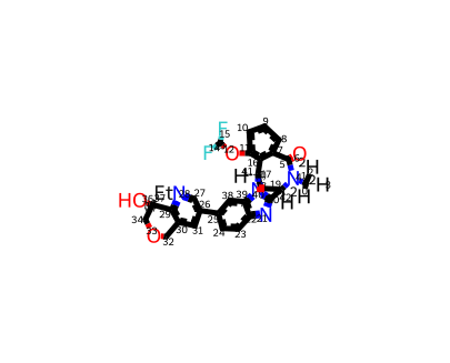 [2H]C([2H])([2H])N1C(=O)c2cccc(OC(F)F)c2[C@H]2C[C@@H]1c1nc3ccc(-c4cnc5c(c4)COC[C@@]5(O)CC)cc3n12